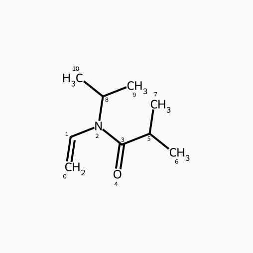 C=CN(C(=O)C(C)C)C(C)C